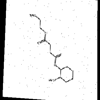 CCCCCCCCCCCCNC(=O)CCC(=O)OC1CCCCC1OC